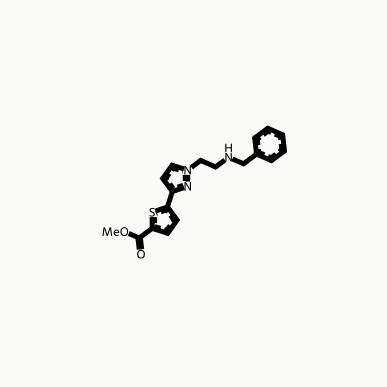 COC(=O)c1ccc(-c2ccn(CCNCc3ccccc3)n2)s1